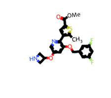 COC(=O)c1cc(-c2ncc(OC3CNC3)cc2OCc2cc(F)cc(F)c2)c(C)s1